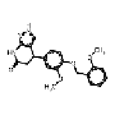 COc1ccccc1COc1ccc(C2CC(=O)Nc3n[nH]cc32)cc1OC